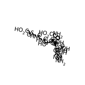 CC(C)(COP(=O)(O)OP(=O)(O)OC[C@H]1O[C@@H](n2cnc3c(N)ncnc32)[C@H](O)[C@@H]1OP(=O)(O)O)C(O)C(=O)NCCC(=O)NCCSC(=O)CC(=O)O.NC(Cc1ccccc1)C(=O)O